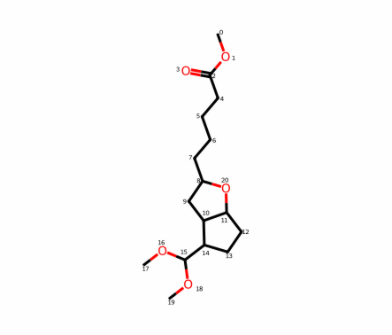 COC(=O)CCCCC1CC2C(CCC2C(OC)OC)O1